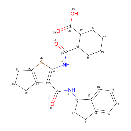 O=C(NC1CCc2ccccc21)c1c(NC(=O)C2CCCCC2C(=O)O)sc2c1CCC2